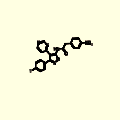 O=C(Cc1ccc([N+](=O)[O-])cc1)Nc1onc(-c2ccc(F)cc2)c1-c1ccncn1